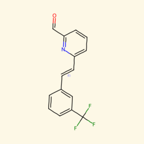 O=Cc1cccc(/C=C/c2cccc(C(F)(F)F)c2)n1